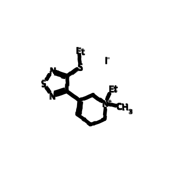 CCSc1nsnc1C1=CCC[N+](C)(CC)C1.[I-]